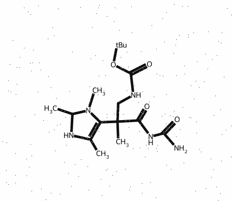 CC1=C(C(C)(CNC(=O)OC(C)(C)C)C(=O)NC(N)=O)N(C)C(C)N1